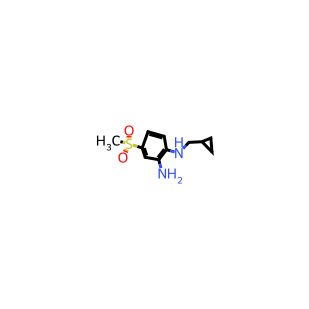 CS(=O)(=O)c1ccc(NCC2CC2)c(N)c1